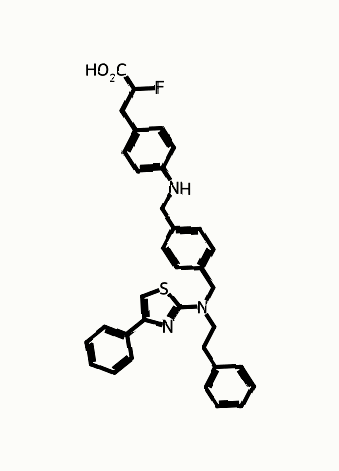 O=C(O)C(F)Cc1ccc(NCc2ccc(CN(CCc3ccccc3)c3nc(-c4ccccc4)cs3)cc2)cc1